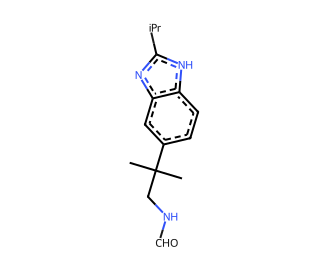 CC(C)c1nc2cc(C(C)(C)CNC=O)ccc2[nH]1